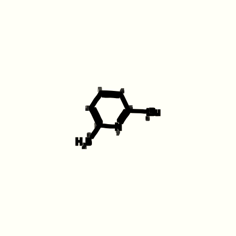 Bc1cccc(C(C)(C)C)n1